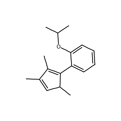 CC1=CC(C)C(c2ccccc2OC(C)C)=C1C